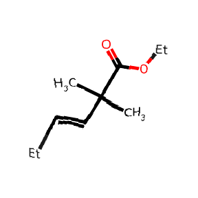 CCC=CC(C)(C)C(=O)OCC